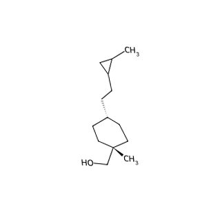 CC1CC1CC[C@H]1CC[C@@](C)(CO)CC1